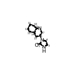 O=c1[nH]ccn1-c1cnc2ccccc2c1